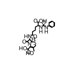 O=C(CCCC(NC(=O)Nc1ccccc1)C(=O)O)NC1C(=O)N2C(C(=O)O)=C(CO)CS[C@@H]12